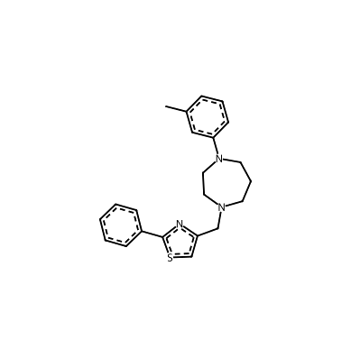 Cc1cccc(N2CCCN(Cc3csc(-c4ccccc4)n3)CC2)c1